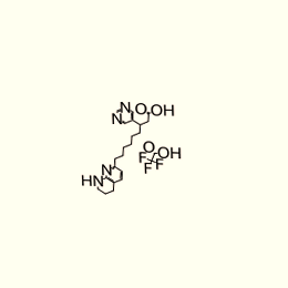 O=C(O)C(F)(F)F.O=C(O)CC(CCCCCCc1ccc2c(n1)NCCC2)c1cncnc1